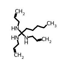 C=CCNC(CCCCC)(NCC=C)NCC=C